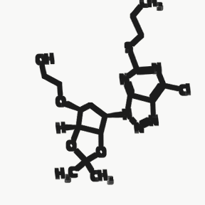 CCCSc1nc(Cl)c2nnn([C@@H]3C[C@H](OCCO)[C@H]4OC(C)(C)OC34)c2n1